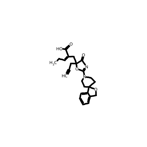 C#CCC1(CC(=CCC)C(=O)O)OC(N2CCC3(CC2)OCc2ccccc23)=NC1=O